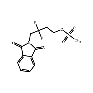 CS(=O)(=O)OCCC(F)(F)CN1C(=O)c2ccccc2C1=O